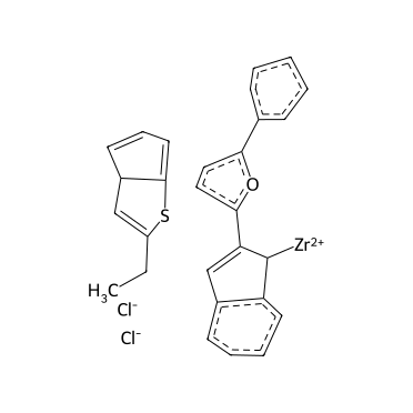 CCC1=CC2C=CC=C2S1.[Cl-].[Cl-].[Zr+2][CH]1C(c2ccc(-c3ccccc3)o2)=Cc2ccccc21